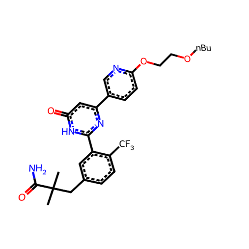 CCCCOCCOc1ccc(-c2cc(=O)[nH]c(-c3cc(CC(C)(C)C(N)=O)ccc3C(F)(F)F)n2)cn1